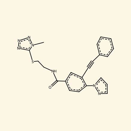 Cn1nnnc1SCCNC(=O)c1ccc(-n2cccn2)c(C#Cc2ccccc2)c1